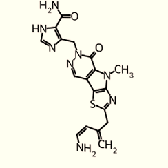 C=C(/C=C\N)Cc1nc2c(s1)c1cnn(Cc3nc[nH]c3C(N)=O)c(=O)c1n2C